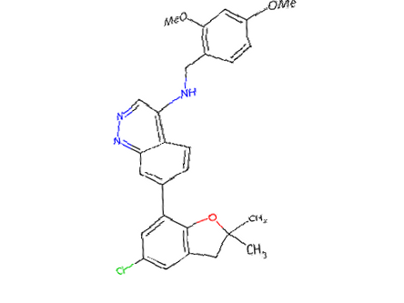 COc1ccc(CNc2cnnc3cc(-c4cc(Cl)cc5c4OC(C)(C)C5)ccc23)c(OC)c1